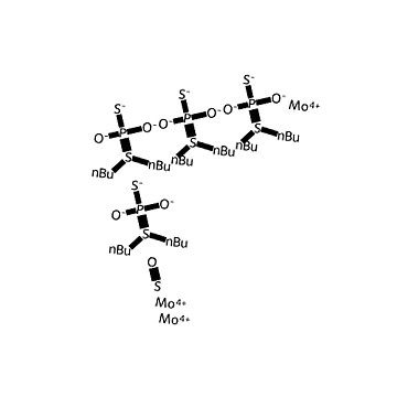 CCCCS(CCCC)=P([O-])([O-])[S-].CCCCS(CCCC)=P([O-])([O-])[S-].CCCCS(CCCC)=P([O-])([O-])[S-].CCCCS(CCCC)=P([O-])([O-])[S-].O=S.[Mo+4].[Mo+4].[Mo+4]